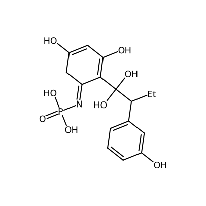 CCC(c1cccc(O)c1)C(O)(O)C1=C(O)C=C(O)CC1=NP(=O)(O)O